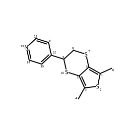 Cc1sc(C)c2c1SCC(c1ccncc1)S2